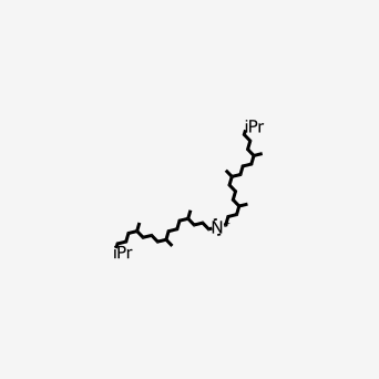 CC(C)CCCC(C)CCCC(C)CCCC(C)CCC[N+](C)(C)CCCC(C)CCCC(C)CCCC(C)CCCC(C)C